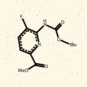 COC(=O)c1ccc(F)c(NC(=O)OC(C)(C)C)n1